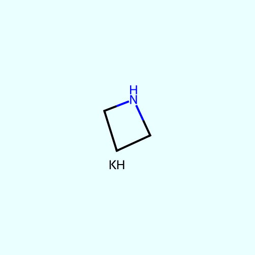 C1CNC1.[KH]